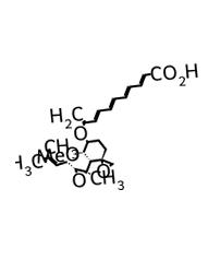 C=C(/C=C/C=C/C=C/C=C/C(=O)O)OC1CC[C@]2(CO2)[C@H]([C@@]2(C)O[C@@H]2CC=C(C)C)[C@@H]1OC